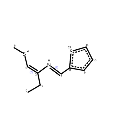 CCC(=C/SC)/N=C/c1cccs1